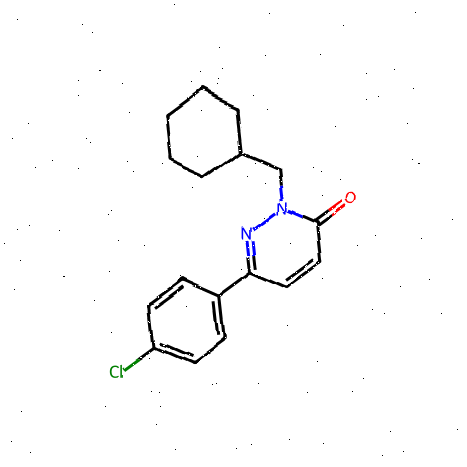 O=c1ccc(-c2ccc(Cl)cc2)nn1CC1CCCCC1